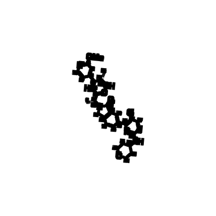 COc1cc([C@H](NC(=O)[C@@H](C)N2Cc3ccc(-c4nc(NC5CCOCC5)ncc4Cl)cc3C2=O)[C@H](C)O)ccn1